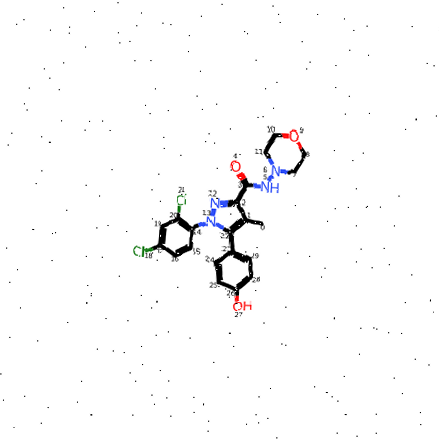 Cc1c(C(=O)NN2CCOCC2)nn(-c2ccc(Cl)cc2Cl)c1-c1ccc(O)cc1